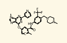 Cc1ccc(Oc2nc(-c3cccnc3)nc3c2ncn3C)cc1C(=O)Nc1ccc(CN2CCN(C)CC2)c(C(F)(F)F)c1